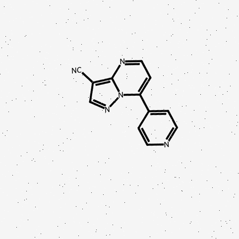 N#Cc1cnn2c(-c3ccncc3)ccnc12